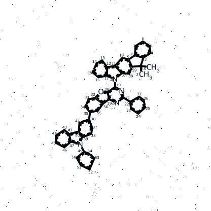 CC1(C)c2ccccc2-c2cc3c4ccccc4n(-c4nc(-c5ccccc5)nc5c4oc4ccc(-c6ccc7c(c6)c6ccccc6n7-c6ccccc6)cc45)c3cc21